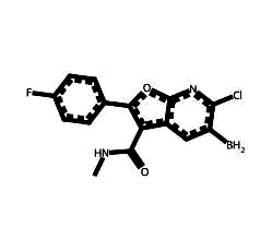 Bc1cc2c(C(=O)NC)c(-c3ccc(F)cc3)oc2nc1Cl